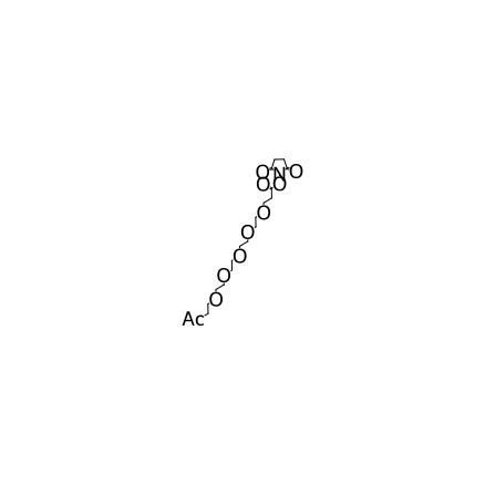 CC(=O)CCOCCOCCOCCOCCOCCC(=O)ON1C(=O)CCC1=O